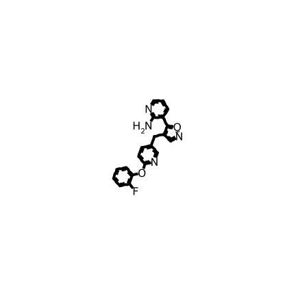 Nc1ncccc1-c1oncc1Cc1ccc(Oc2ccccc2F)nc1